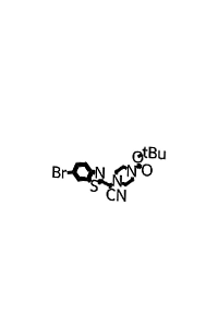 CC(C)(C)OC(=O)N1CCN(C(C#N)c2nc3ccc(Br)cc3s2)CC1